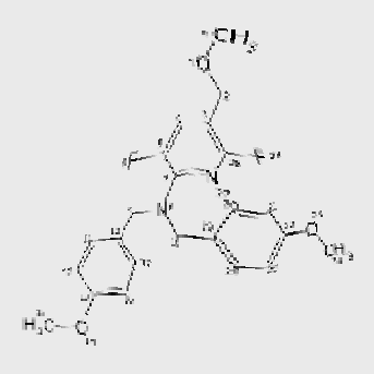 COCc1cc(F)c(N(Cc2ccc(OC)cc2)Cc2ccc(OC)cc2)nc1F